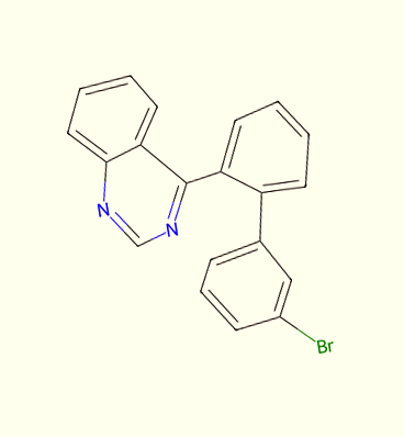 Brc1cccc(-c2ccccc2-c2ncnc3ccccc23)c1